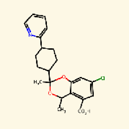 CC1OC(C)(C2CCC(c3ccccn3)CC2)Oc2cc(Cl)cc(C(=O)O)c21